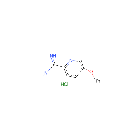 CC(C)Oc1ccc(C(=N)N)nc1.Cl